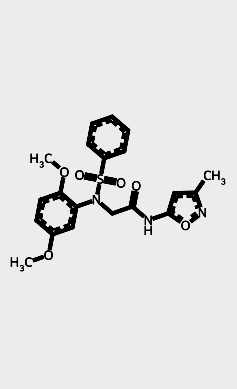 COc1ccc(OC)c(N(CC(=O)Nc2cc(C)no2)S(=O)(=O)c2ccccc2)c1